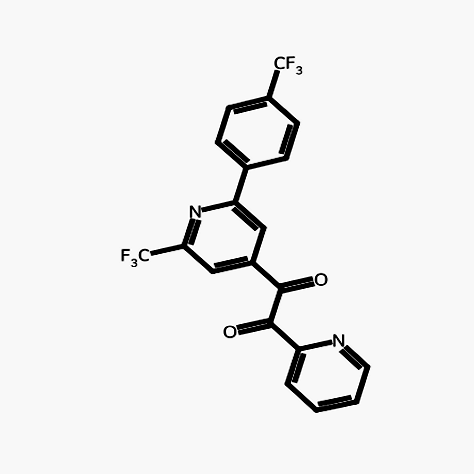 O=C(C(=O)c1ccccn1)c1cc(-c2ccc(C(F)(F)F)cc2)nc(C(F)(F)F)c1